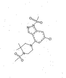 CC1(C)CN(c2cc(Cl)cc3c2cnn3S(C)(=O)=O)CCN1S(C)(=O)=O